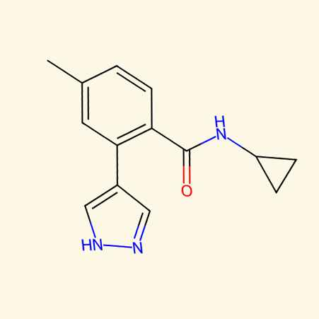 Cc1ccc(C(=O)NC2CC2)c(-c2cn[nH]c2)c1